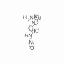 Cl.Nc1ncnc2ccc(-c3cccc(CNCCN4CCOCC4)c3)nc12